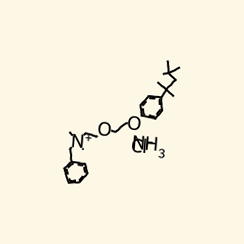 CC(C)(C)CC(C)(C)c1ccc(OCCOCC[N+](C)(C)Cc2ccccc2)cc1.N.[Cl-]